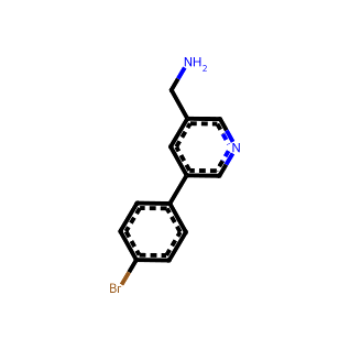 NCc1cncc(-c2ccc(Br)cc2)c1